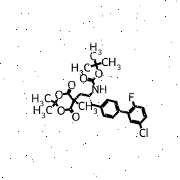 CC(C)(C)OC(=O)N[C@H](Cc1ccc(-c2cc(Cl)ccc2F)cc1)CC1(C)C(=O)OC(C)(C)OC1=O